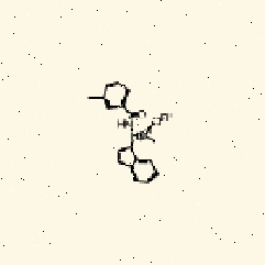 Cc1cccc(C(=O)[NH][Hf+2]([CH]2C=Cc3ccccc32)[SiH](C)C)c1.[Cl-].[Cl-]